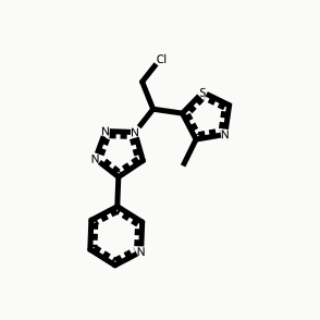 Cc1ncsc1C(CCl)n1cc(-c2cccnc2)nn1